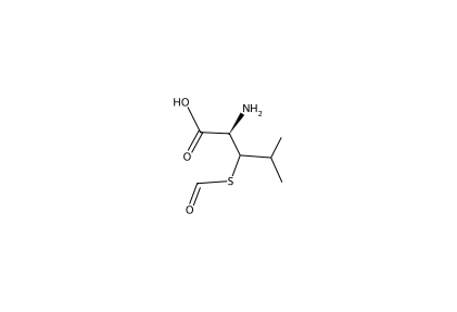 CC(C)C(SC=O)[C@H](N)C(=O)O